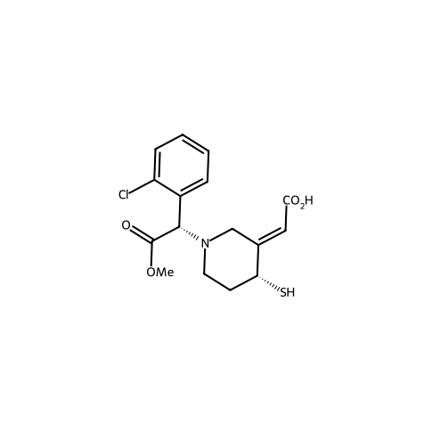 COC(=O)[C@H](c1ccccc1Cl)N1CC[C@@H](S)/C(=C/C(=O)O)C1